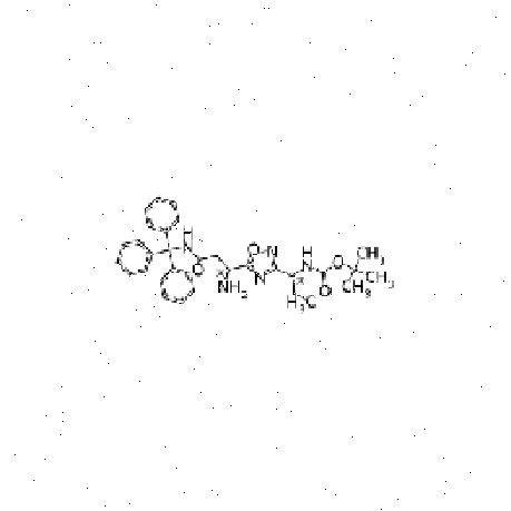 CC[C@H](NC(=O)OC(C)(C)C)c1noc([C@@H](N)CC(=O)NC(c2ccccc2)(c2ccccc2)c2ccccc2)n1